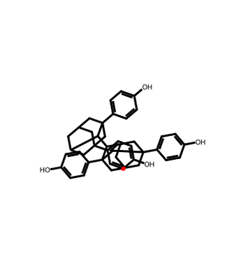 Oc1ccc(C23CC4CC(C2)C(C2C5CC6CC(c7ccc(O)cc7)(C5)CC2(c2ccc(O)cc2)C6)C(c2ccc(O)cc2)(C4)C3)cc1